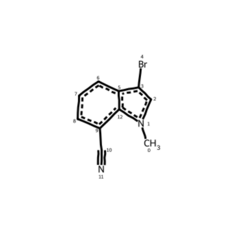 Cn1cc(Br)c2cccc(C#N)c21